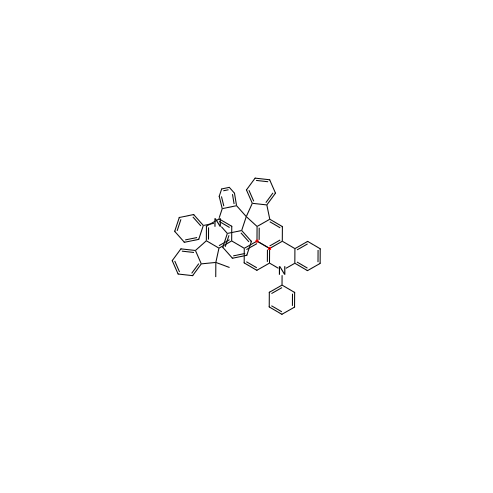 CC1(C)c2ccccc2-c2cccc(-c3ccc(N(c4ccccc4)c4ccccc4-c4ccc5c(c4)-c4ccccc4C54c5ccccc5N(c5ccccc5)c5ccccc54)cc3)c21